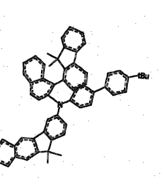 CC(C)(C)c1ccc(-c2ccc(N(c3ccc4c(c3)-c3cc5ccccc5cc3C4(C)C)c3ccc4ccccc4c3-c3cccc4c3C(C)(C)c3ccccc3-4)cc2)cc1